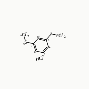 Cl.NCc1cccc(SC(F)(F)F)c1